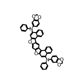 c1ccc(N(c2ccc3c(c2)OCO3)c2cc3oc4cc5oc6cc(N(c7ccccc7)c7ccc8c(c7)OCO8)c7ccccc7c6c5cc4c3c3ccccc23)cc1